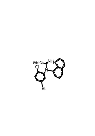 CCc1ccc(Cl)c(N(C(=N)NC)c2cccc3cccnc23)c1